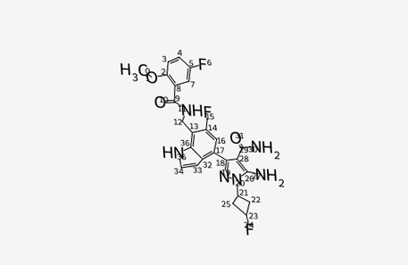 COc1ccc(F)cc1C(=O)NCc1c(F)cc(-c2nn(C3CC(F)C3)c(N)c2C(N)=O)c2cc[nH]c12